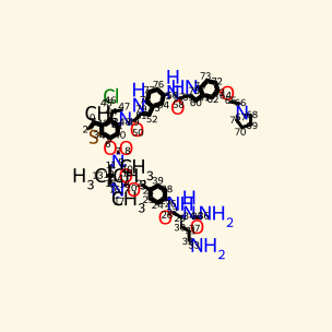 Cc1csc2c(OC(=O)N(C)CC(C)(C)CN(C)C(=O)OCc3ccc(NC(=O)[C@H](CCCN)NC(N)=O)cc3)cc3c(c12)[C@H](CCl)CN3C(=O)c1cc2cc(NC(=O)c3cc4cc(OCCN5CCCC5)ccc4[nH]3)ccc2[nH]1